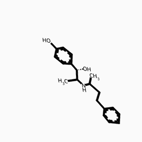 CC(CCc1ccccc1)NC(C)[C@@H](O)c1ccc(O)cc1